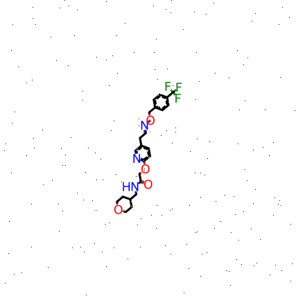 O=C(COc1ccc(CC=NOCc2ccc(C(F)(F)F)cc2)cn1)NCC1CCOCC1